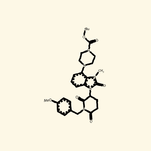 COc1ccc(CN2C(=O)CCC(n3c(=O)n(C)c4c(N5CCN(C(=O)OC(C)(C)C)CC5)cccc43)C2=O)cc1